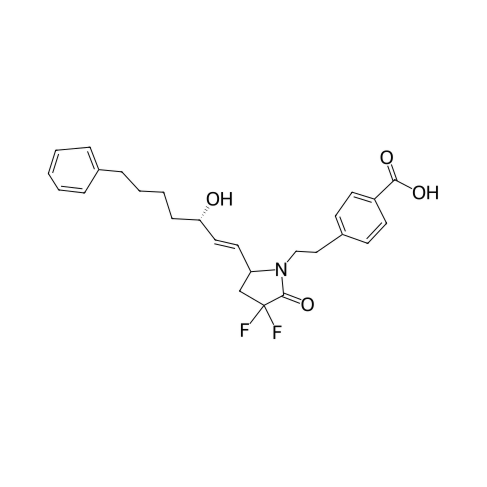 O=C(O)c1ccc(CCN2C(=O)C(F)(F)CC2/C=C/[C@@H](O)CCCCc2ccccc2)cc1